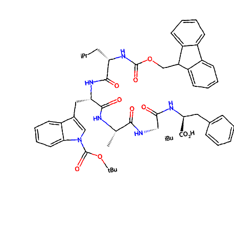 CC[C@H](C)[C@H](NC(=O)[C@H](C)NC(=O)[C@H](Cc1cn(C(=O)OC(C)(C)C)c2ccccc12)NC(=O)[C@H](CC(C)C)NC(=O)OCC1c2ccccc2-c2ccccc21)C(=O)N[C@@H](Cc1ccccc1)C(=O)O